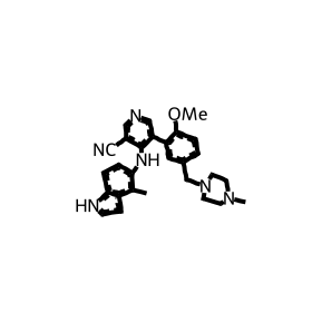 COc1ccc(CN2CCN(C)CC2)cc1-c1cncc(C#N)c1Nc1ccc2[nH]ccc2c1C